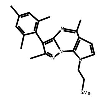 CSCCn1ccc2c(C)nc3c(-c4c(C)cc(C)cc4C)c(C)nn3c21